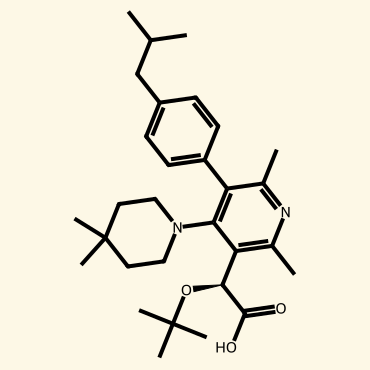 Cc1nc(C)c([C@H](OC(C)(C)C)C(=O)O)c(N2CCC(C)(C)CC2)c1-c1ccc(CC(C)C)cc1